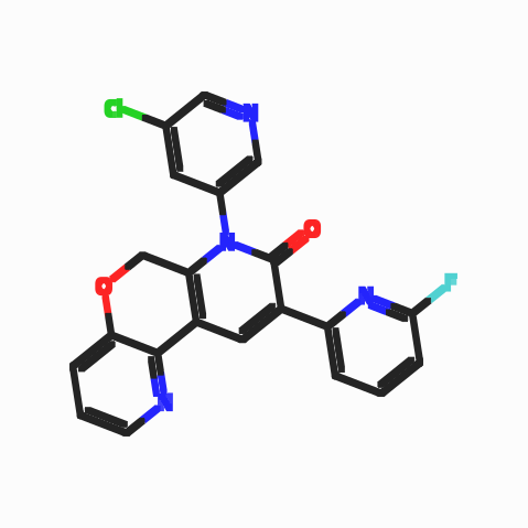 O=c1c(-c2cccc(F)n2)cc2c(n1-c1cncc(Cl)c1)COc1cccnc1-2